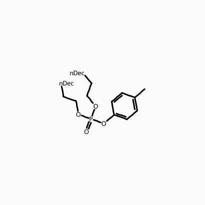 CCCCCCCCCCCCOP(=O)(OCCCCCCCCCCCC)Oc1ccc(C)cc1